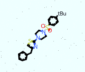 CC(C)(C)c1ccc(S(=O)(=O)N2CCN(c3nc(Cc4ccccc4)cs3)CC2)cc1